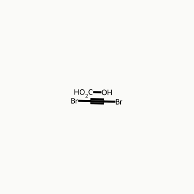 BrC#CBr.O=C(O)O